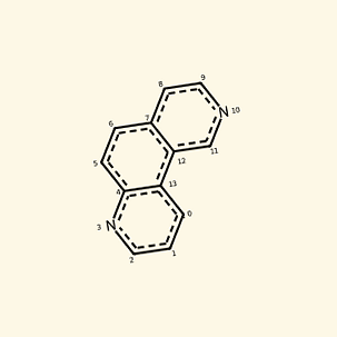 [c]1ccnc2ccc3ccncc3c12